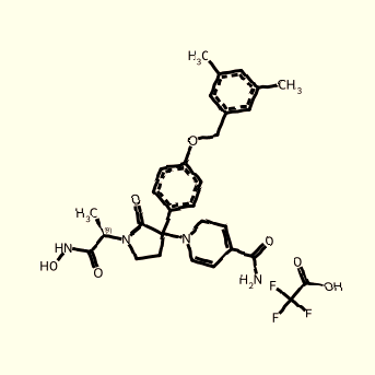 Cc1cc(C)cc(COc2ccc(C3(N4C=CC(C(N)=O)=CC4)CCN([C@H](C)C(=O)NO)C3=O)cc2)c1.O=C(O)C(F)(F)F